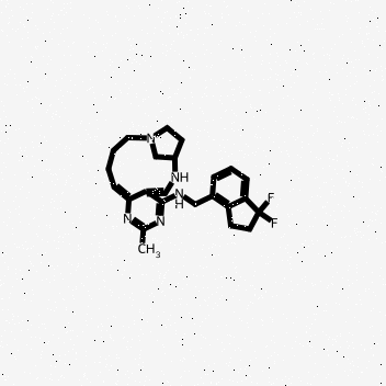 Cc1nc(NCc2cccc3c2CCC3(F)F)c2/c(n1)=C\CCCN1CCC(C1)N/C=2